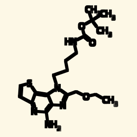 CCOCc1nc2c(N)nc3ccsc3c2n1CCCCNC(=O)OC(C)(C)C